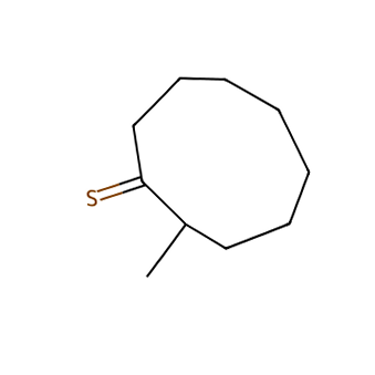 CC1CCCCCCCC1=S